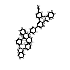 N#Cc1ccc2c3cc(-c4ccc(-c5c6ccccc6c(-c6cccc(-c7nc8ccccc8n7-c7ccccc7)c6)c6ccccc56)cc4)ccc3c3nc4ccccc4n3c2c1